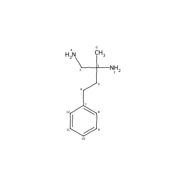 CC(N)(CN)CCc1ccccc1